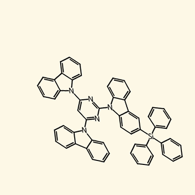 c1ccc([Si](c2ccccc2)(c2ccccc2)c2ccc3c(c2)c2ccccc2n3-c2nc(-n3c4ccccc4c4ccccc43)cc(-n3c4ccccc4c4ccccc43)n2)cc1